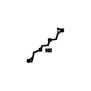 C(COCC1CO1)OCC1CO1.Cl